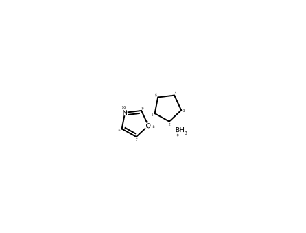 B.C1CCCC1.c1cocn1